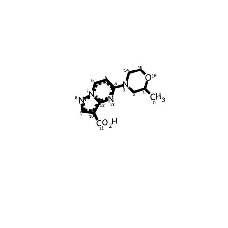 CC1CN(c2ccn3ncc(C(=O)O)c3n2)CCO1